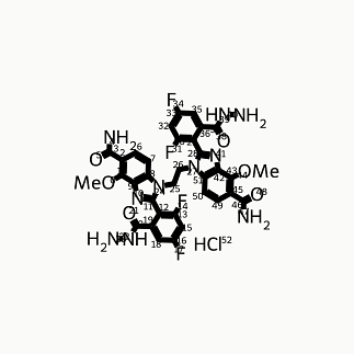 COc1c(C(N)=O)ccc2c1nc(-c1c(F)cc(F)cc1C(=O)NN)n2CCn1c(-c2c(F)cc(F)cc2C(=O)NN)nc2c(OC)c(C(N)=O)ccc21.Cl